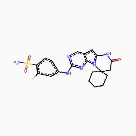 NS(=O)(=O)c1ccc(Nc2ncc3cc4n(c3n2)C2(CCCCC2)CC(=O)N4)cc1F